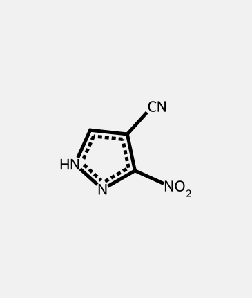 N#Cc1c[nH]nc1[N+](=O)[O-]